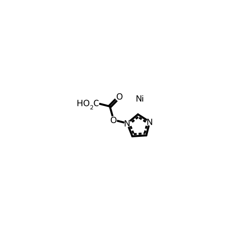 O=C(O)C(=O)On1ccnc1.[Ni]